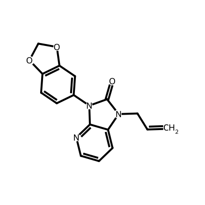 C=CCn1c(=O)n(-c2ccc3c(c2)OCO3)c2ncccc21